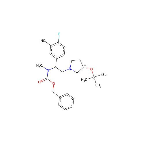 CN(C(=O)OCc1ccccc1)C(CN1CC[C@H](O[Si](C)(C)C(C)(C)C)C1)c1ccc(F)c(C#N)c1